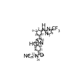 Cc1cc(Nc2nccc(C(F)(F)F)n2)cc(-c2cnc(C3(O)CCC(C(=O)N(C)CCC#N)CC3)s2)c1